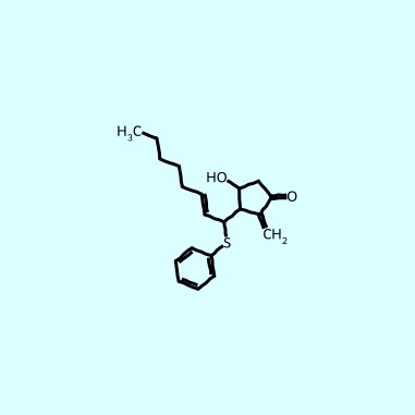 C=C1C(=O)CC(O)C1C(C=CCCCCC)Sc1ccccc1